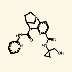 O=C(NC1(CO)CC1)c1ccc2c(n1)N(C(=O)Nc1ccccn1)C1CCN2C1